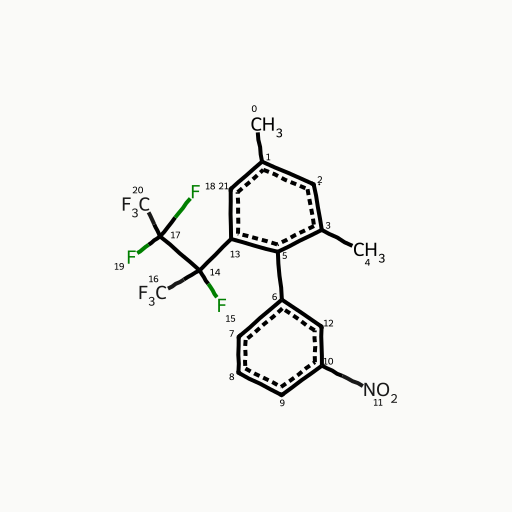 Cc1[c]c(C)c(-c2cccc([N+](=O)[O-])c2)c(C(F)(C(F)(F)F)C(F)(F)C(F)(F)F)c1